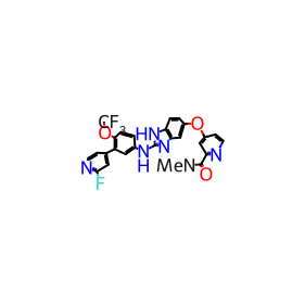 CNC(=O)c1cc(Oc2ccc3[nH]c(Nc4ccc(OC(F)(F)F)c(-c5ccnc(F)c5)c4)nc3c2)ccn1